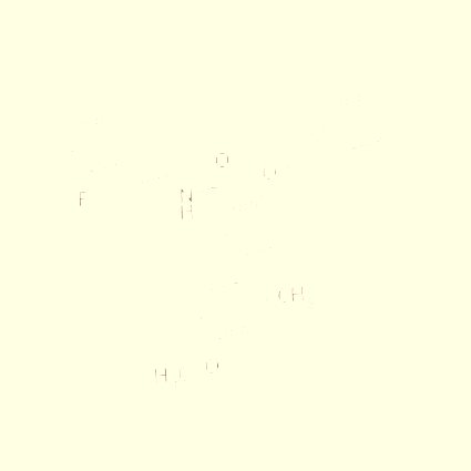 COc1ccc(-c2ccc(OCCc3ccccc3)c(C(=O)NCCc3ccccc3F)c2)c(C)c1